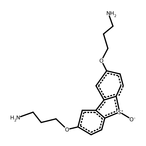 NCCCOc1ccc2c(c1)c1cc(OCCCN)ccc1[s+]2[O-]